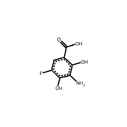 Nc1c(O)c(F)cc(C(=O)O)c1O